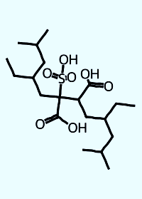 CCC(CC(C)C)CC(C(=O)O)C(CC(CC)CC(C)C)(C(=O)O)S(=O)(=O)O